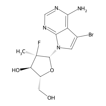 C[C@@]1(F)[C@H](O)[C@@H](CO)O[C@H]1n1cc(Br)c2c(N)ncnc21